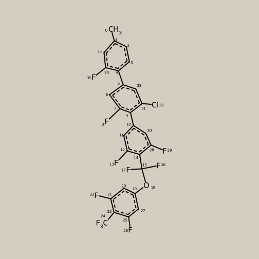 Cc1ccc(-c2cc(F)c(-c3cc(F)c(C(F)(F)Oc4cc(F)c(C(F)(F)F)c(F)c4)c(F)c3)c(Cl)c2)c(F)c1